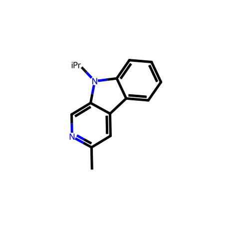 Cc1cc2c3ccccc3n(C(C)C)c2cn1